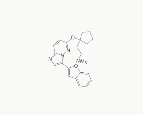 CNCCC1(Oc2ccc3ncc(-c4cc5ccccc5o4)n3n2)CCCC1